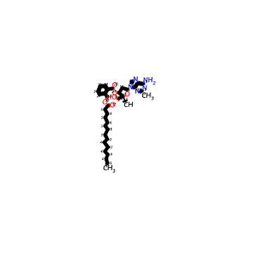 C#C[C@]1(CO)O[C@@H](n2cnc3c(N)nc(C)nc32)C[C@@H]1OC(=O)c1ccccc1COC(=O)CCCCCCCCCCCCCCC